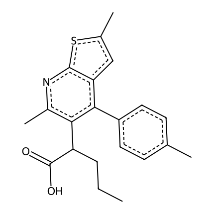 CCCC(C(=O)O)c1c(C)nc2sc(C)cc2c1-c1ccc(C)cc1